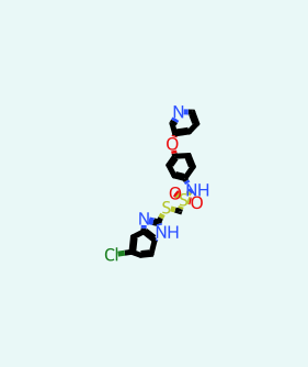 O=S(=O)(CSc1nc2cc(Cl)ccc2[nH]1)Nc1ccc(Oc2cccnc2)cc1